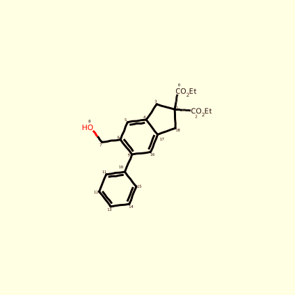 CCOC(=O)C1(C(=O)OCC)Cc2cc(CO)c(-c3ccccc3)cc2C1